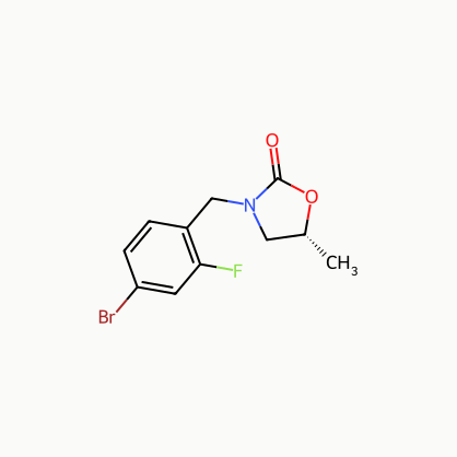 C[C@@H]1CN(Cc2ccc(Br)cc2F)C(=O)O1